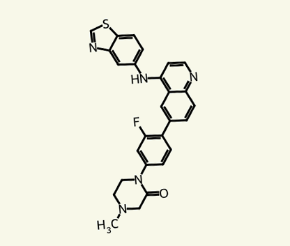 CN1CCN(c2ccc(-c3ccc4nccc(Nc5ccc6scnc6c5)c4c3)c(F)c2)C(=O)C1